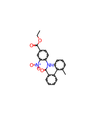 CCOC(=O)c1ccc(NC(=O)c2ccccc2-c2ccccc2C)c([N+](=O)[O-])c1